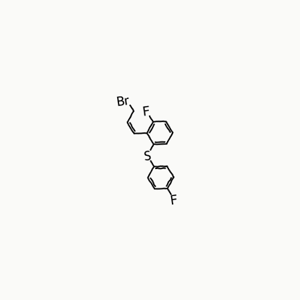 Fc1ccc(Sc2cccc(F)c2/C=C\CBr)cc1